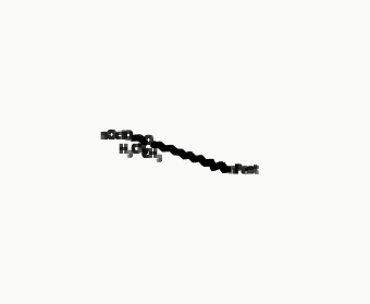 CCCCCC=CCC=CCCCCCCCCCCOC(CCOCCCCCCCC)N(C)C